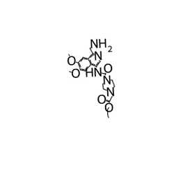 CCOC(=O)CN1CCN(C(=O)Nc2cnc(CN)c3cc(OC)c(OC)cc23)CC1